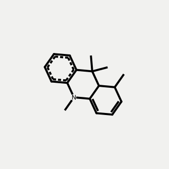 CC1C=CC=C2C1C(C)(C)c1ccccc1N2C